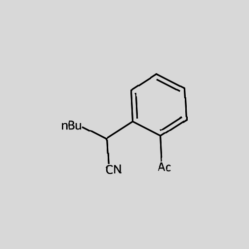 CCCCC(C#N)c1ccccc1C(C)=O